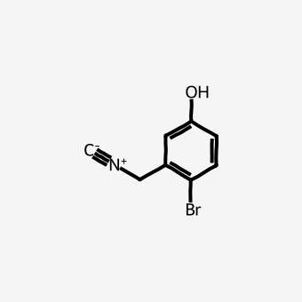 [C-]#[N+]Cc1cc(O)ccc1Br